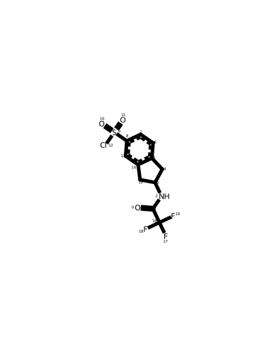 O=C(NC1Cc2ccc(S(=O)(=O)Cl)cc2C1)C(F)(F)F